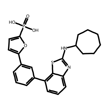 O=P(O)(O)c1ccc(-c2cccc(-c3cccc4nc(NC5CCCCCC5)sc34)c2)o1